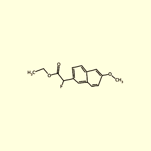 CCOC(=O)C(F)c1ccc2cc(OC)ccc2c1